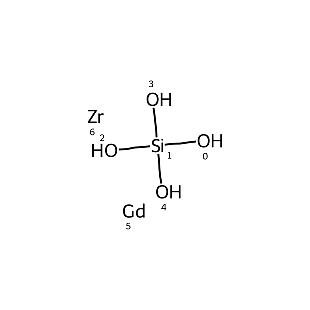 O[Si](O)(O)O.[Gd].[Zr]